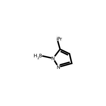 Bn1nccc1C(C)C